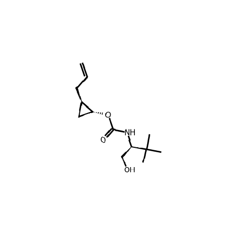 C=CC[C@@H]1C[C@H]1OC(=O)N[C@H](CO)C(C)(C)C